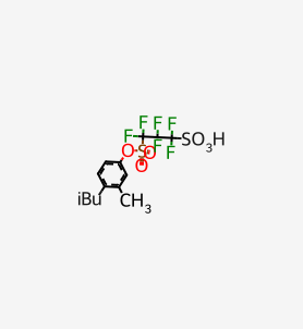 CCC(C)c1ccc(OS(=O)(=O)C(F)(F)C(F)(F)C(F)(F)S(=O)(=O)O)cc1C